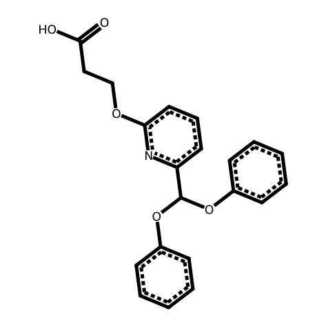 O=C(O)CCOc1cccc(C(Oc2ccccc2)Oc2ccccc2)n1